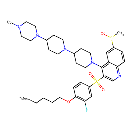 CCCCCCCCCCCCCCOc1ccc(S(=O)(=O)c2cnc3ccc([S+](C)[O-])cc3c2N2CCC(N3CCC(N4CCN(CC)CC4)CC3)CC2)cc1F